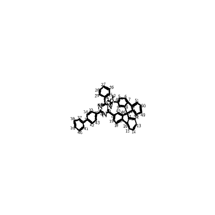 C=P(C)(C)c1ccc2c(c1)C1(c3ccccc3-c3ccc(-c4nc(-c5ccccc5)nc(-c5ccc(-c6ccccc6)cc5)n4)cc31)c1ccccc1-2